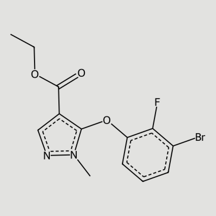 CCOC(=O)c1cnn(C)c1Oc1cccc(Br)c1F